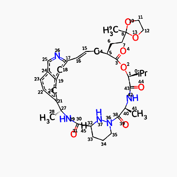 CC(C)[C@@H]1OC(=O)[C@H](CCC2(C)OCCO2)C/C=C/c2cc3cc(ccc3cn2)[C@@H](C)NC(=O)[C@@H]2CCCN(N2)C(=O)[C@H](C)NC1=O